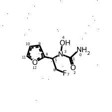 NC(=O)N(O)C(CF)c1ccco1